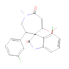 COC1CC(=O)N(C)CC(c2cccc(Cl)c2)C12C(=O)Nc1cccc(Cl)c12